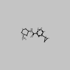 CN1CCCC(NC(=O)c2cc(C3CC3)cnn2)C1